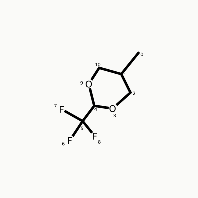 CC1COC(C(F)(F)F)OC1